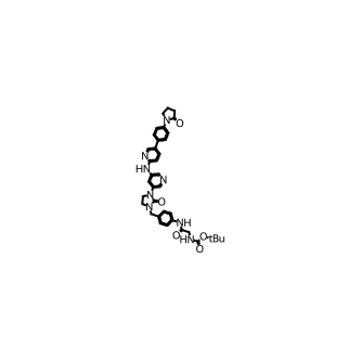 CC(C)(C)OC(=O)NCC(=O)Nc1ccc(CN2CCN(c3cncc(Nc4ccc(-c5ccc(N6CCCC6=O)cc5)cn4)c3)C2=O)cc1